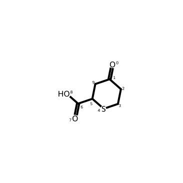 O=C1CCSC(C(=O)O)C1